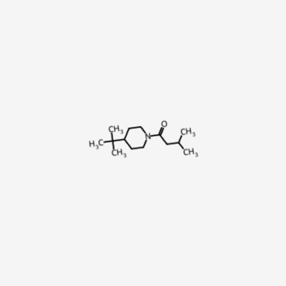 CC(C)CC(=O)N1CCC(C(C)(C)C)CC1